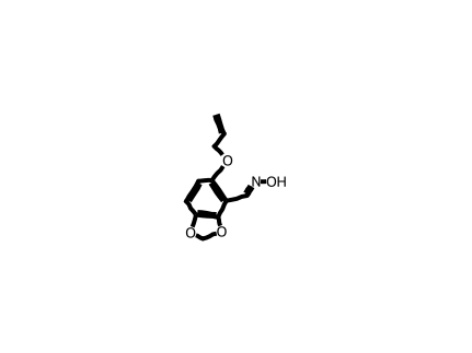 C=CCOc1ccc2c(c1/C=N/O)OCO2